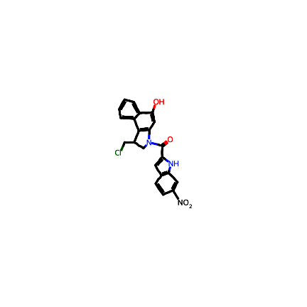 O=C(c1cc2ccc([N+](=O)[O-])cc2[nH]1)N1CC(CCl)c2c1cc(O)c1ccccc21